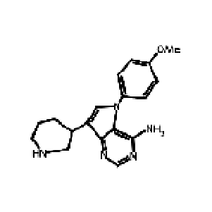 COc1ccc(-n2cc(C3CCCNC3)c3ncnc(N)c32)cc1